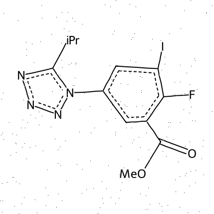 COC(=O)c1cc(-n2nnnc2C(C)C)cc(I)c1F